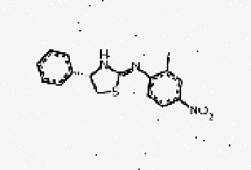 Cc1cc([N+](=O)[O-])ccc1/N=C1/N[C@@H](c2ccccc2)CS1